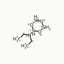 CCN(CC)[SiH]1O[SiH2]O[SiH2]O1